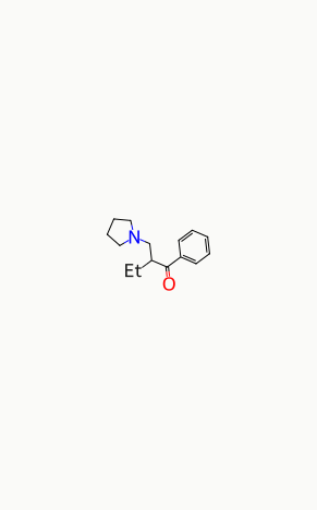 CCC(CN1CCCC1)C(=O)c1ccccc1